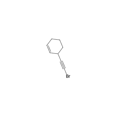 BrC#CC1C=CCCC1